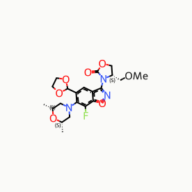 COC[C@H]1COC(=O)N1c1noc2c(F)c(N3C[C@@H](C)O[C@@H](C)C3)c(C3OCCO3)cc12